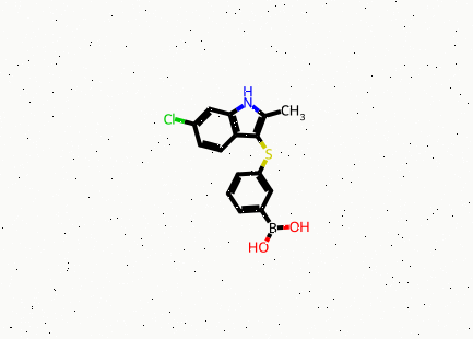 Cc1[nH]c2cc(Cl)ccc2c1Sc1cccc(B(O)O)c1